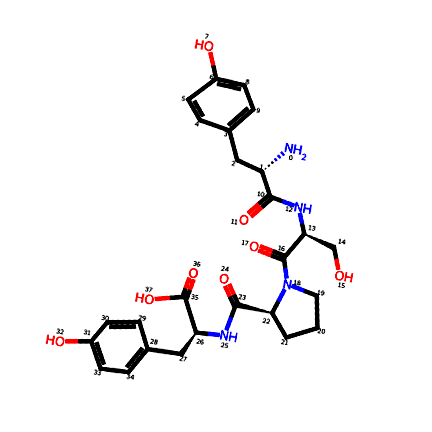 N[C@@H](Cc1ccc(O)cc1)C(=O)N[C@@H](CO)C(=O)N1CCC[C@H]1C(=O)N[C@@H](Cc1ccc(O)cc1)C(=O)O